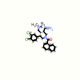 CN(C)CC[C@H](CN(CCCN)C(=O)c1cccc2ccccc12)c1ccc(Cl)c(Cl)c1